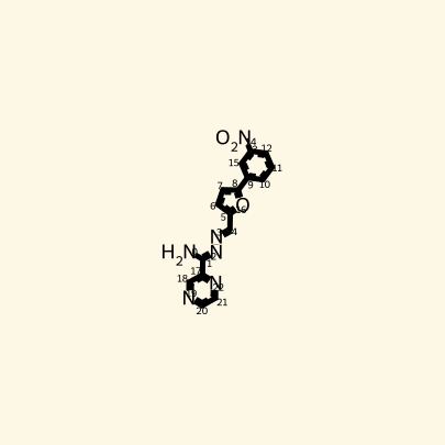 NC(=NN=Cc1ccc(-c2cccc([N+](=O)[O-])c2)o1)c1cnccn1